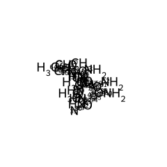 COc1cc(C(=O)N[C@@H](CCN)C(=O)N(C)[C@@H]2C(=O)N[C@@H](C)C(=O)N[C@H](C(=O)NCC#N)Cc3ccc(OCCN)c(c3)-c3cc2ccc3OCCN)c(C)nc1-c1ccc(C(C)(C)C)cc1